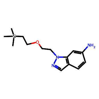 C[Si](C)(C)CCOCCn1ncc2ccc(N)cc21